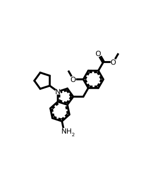 COC(=O)c1ccc(Cc2cn(C3CCCC3)c3ccc(N)cc23)c(OC)c1